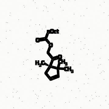 CCCCCCCCC(=O)OCC(=O)[C@]1(C)CC=CC1(C)C